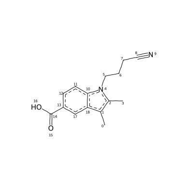 Cc1c(C)n(CCCC#N)c2ccc(C(=O)O)cc12